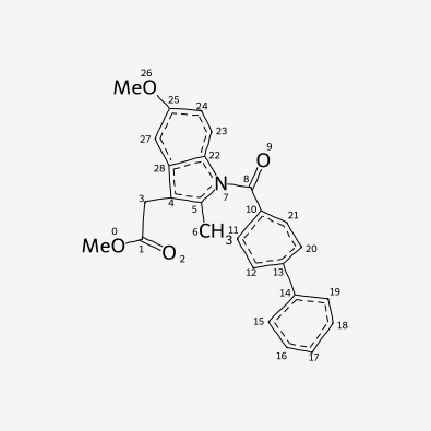 COC(=O)Cc1c(C)n(C(=O)c2ccc(-c3ccccc3)cc2)c2ccc(OC)cc12